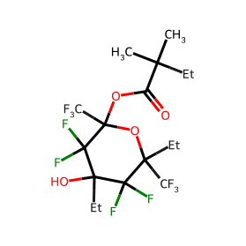 CCC(C)(C)C(=O)OC1(C(F)(F)F)OC(CC)(C(F)(F)F)C(F)(F)C(O)(CC)C1(F)F